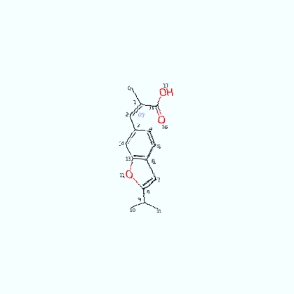 C/C(=C/c1ccc2cc(C(C)C)oc2c1)C(=O)O